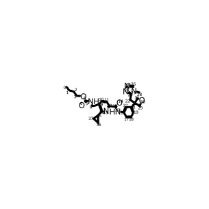 CCCCOC(=O)NCc1ccc(C(=O)Nc2cccc(C3(Cc4nncn4C)COC3)c2)nc1C1CC1